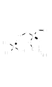 CCOP(=O)(OCC)OCC.N.N.O=P(O)(O)O